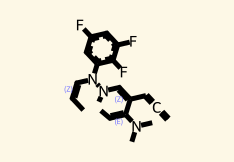 C=C=CC(=C/N(C)N(/C=C\C)c1cc(F)cc(F)c1F)/C(=C\C)N(C)C